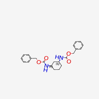 O=C(N[C@@H]1CCC[C@H](NC(=O)OCc2ccccc2)C1)OCc1ccccc1